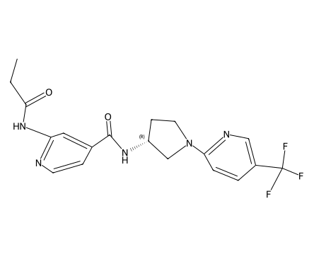 CCC(=O)Nc1cc(C(=O)N[C@@H]2CCN(c3ccc(C(F)(F)F)cn3)C2)ccn1